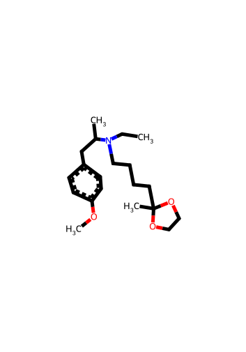 CCN(CCCCC1(C)OCCO1)C(C)Cc1ccc(OC)cc1